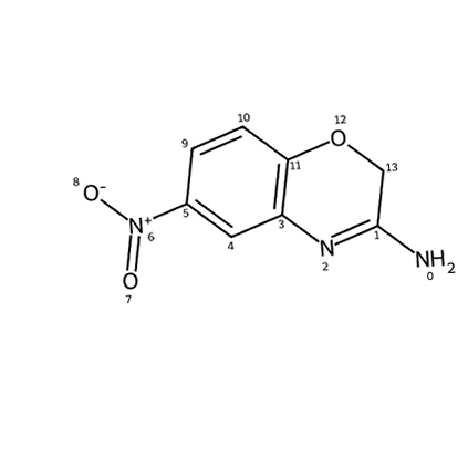 NC1=Nc2cc([N+](=O)[O-])ccc2OC1